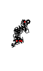 CCOP(=O)(OCC)C(CO)(Cc1nnnn1COCC[Si](C)(C)C)OC[C@H]1O[C@@H](n2ncc3c(N(Cc4ccccc4Cl)C(=O)OC(C)(C)C)nc(Cl)nc32)[C@@H]2OC(C)(C)O[C@@H]21